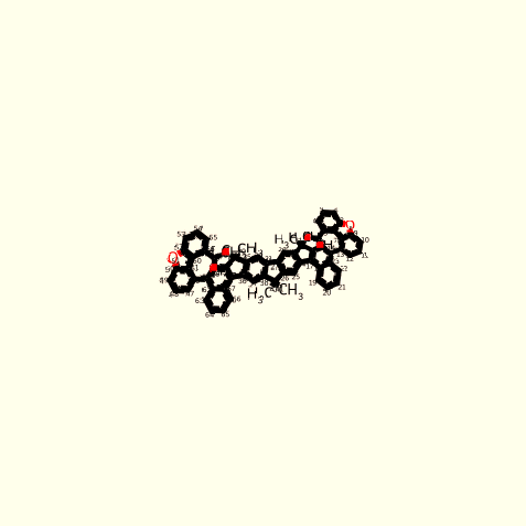 CC(C)c1cccc2oc3cccc(-c4cc5c(c6ccccc46)-c4cc6c(cc4C5(C)C)-c4cc5c(cc4C6(C)C)-c4c(cc(-c6cccc7oc8cccc(C(C)C)c8c67)c6ccccc46)C5(C)C)c3c12